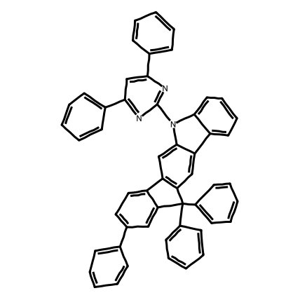 c1ccc(-c2ccc3c(c2)C(c2ccccc2)(c2ccccc2)c2cc4c5ccccc5n(-c5nc(-c6ccccc6)cc(-c6ccccc6)n5)c4cc2-3)cc1